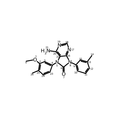 COc1cc(-n2c(=O)n(-c3cccc(C)c3)c3ncnc(N)c32)ccc1C